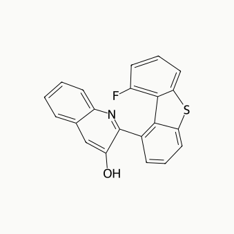 Oc1cc2ccccc2nc1-c1cccc2sc3cccc(F)c3c12